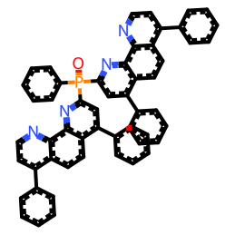 O=P(c1ccccc1)(c1cc(-c2ccccc2)c2ccc3c(-c4ccccc4)ccnc3c2n1)c1cc(-c2ccccc2)c2ccc3c(-c4ccccc4)ccnc3c2n1